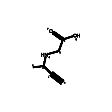 C#CC(C)NCC(=O)O